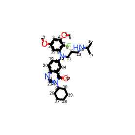 COc1cc(OC)c(F)c(N(CCCNC(C)C)c2ccc3ncn(C4CCCCC4)c(=O)c3c2)c1